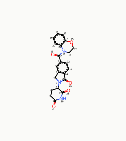 O=C1CCC(N2Cc3cc(C(=O)N4CCOc5ccccc54)ccc3C2=O)C(=O)N1